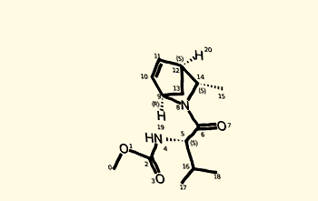 COC(=O)N[C@H](C(=O)N1[C@H]2C=C[C@H](C2)[C@@H]1C)C(C)C